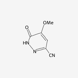 COc1cc(C#N)n[nH]c1=O